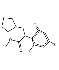 COC(=O)C(CC1CCCC1)n1c(C)cc(Br)cc1=O